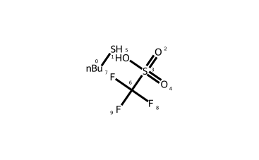 CCCCS.O=S(=O)(O)C(F)(F)F